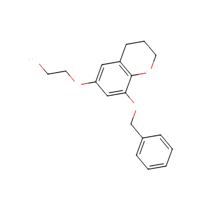 OCCOc1cc2c(c(OCc3ccccc3)c1)OCCC2